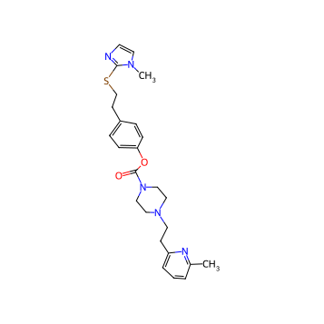 Cc1cccc(CCN2CCN(C(=O)Oc3ccc(CCSc4nccn4C)cc3)CC2)n1